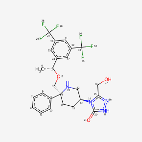 C[C@@H](OC[C@@]1(c2ccccc2)CC[C@H](n2c(CO)n[nH]c2=O)CN1)c1cc(C(F)(F)F)cc(C(F)(F)F)c1